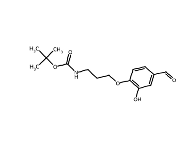 CC(C)(C)OC(=O)NCCCOc1ccc(C=O)cc1O